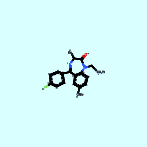 CCOC(=O)CN1C(=O)C(C(C)CC)N=C(c2ccc(F)cc2)c2cc(OC)ccc21